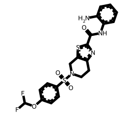 Nc1ccccc1NC(=O)c1nc2c(s1)CN(S(=O)(=O)c1ccc(OC(F)F)cc1)CC2